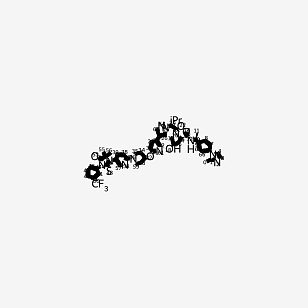 Cc1nccn1-c1ccc([C@H](C)NC(=O)[C@@H]2C[C@@H](O)CN2C(=O)C(C(C)C)n2cc(-c3ccc(OC4CCN(c5ccc(N6C(=S)N(c7cccc(C(F)(F)F)c7)C(=O)C6(C)C)cn5)CC4)nc3)cn2)cc1